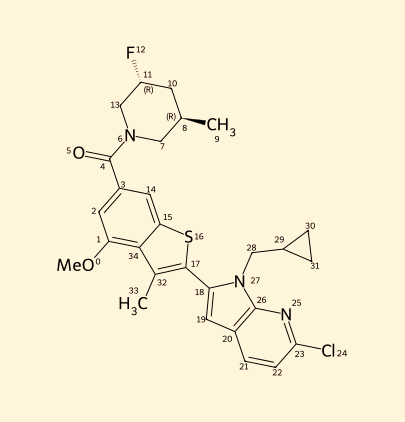 COc1cc(C(=O)N2C[C@H](C)C[C@@H](F)C2)cc2sc(-c3cc4ccc(Cl)nc4n3CC3CC3)c(C)c12